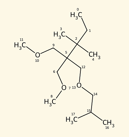 CCC(C)(C)C(COC)(COC)COCC(C)C